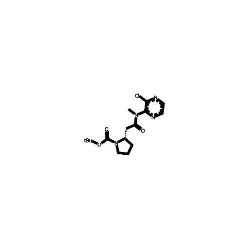 CN(C(=O)C[C@@H]1CCCN1C(=O)OC(C)(C)C)c1nccnc1Cl